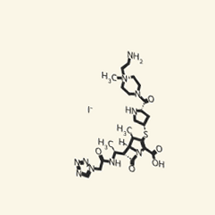 C[C@@H](NC(=O)Cn1cnnn1)[C@H]1C(=O)N2C(C(=O)O)=C(S[C@@H]3CN[C@H](C(=O)N4CC[N+](C)(CCN)CC4)C3)[C@H](C)[C@H]12.[I-]